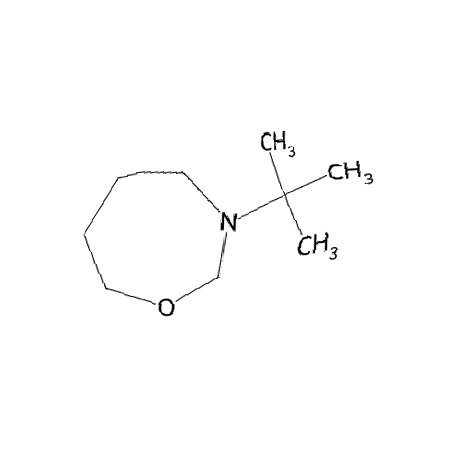 CC(C)(C)N1CCCCOC1